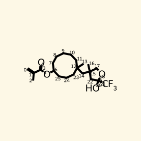 C=C(C)C(=O)OC1CCCCCC(C)(CC2(C)COC(O)(C(F)(F)F)C2)CCC1